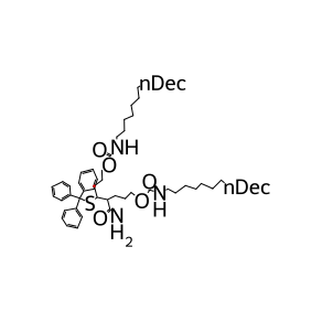 CCCCCCCCCCCCCCCCCNC(=O)OCCCC(SC(c1ccccc1)(c1ccccc1)c1ccccc1)C(CCCOC(=O)NCCCCCCCCCCCCCCCCC)C(N)=O